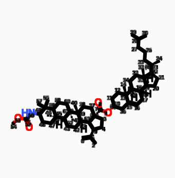 C=C(C)[C@@H]1CC[C@]2(C(=O)O[C@@H]3CC[C@@]4(C)C(=CC[C@H]5[C@@H]6CC[C@H]([C@H](C)CCCC(C)C)[C@@]6(C)CC[C@@H]54)C3)CC[C@]3(C)[C@H](CC[C@@H]4[C@@]5(C)CCC(NC(=O)OC)C(C)(C)C5CC[C@]43C)C12